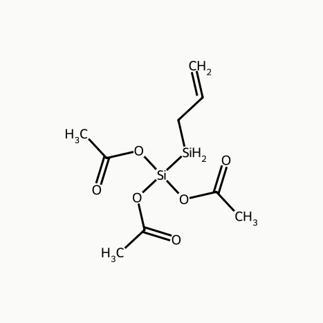 C=CC[SiH2][Si](OC(C)=O)(OC(C)=O)OC(C)=O